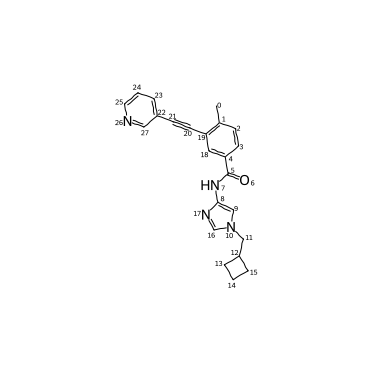 Cc1ccc(C(=O)Nc2cn(CC3CCC3)cn2)cc1C#Cc1cccnc1